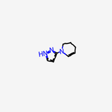 C1=CN(c2cc[nH]n2)CCC1